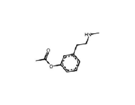 CNCCc1cccc(OC(C)=O)c1